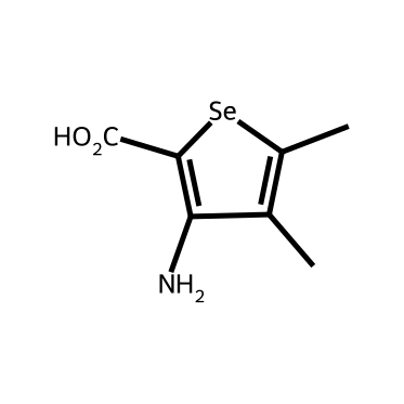 Cc1[se]c(C(=O)O)c(N)c1C